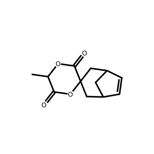 CC1OC(=O)C2(CC3C=CC(C3)C2)OC1=O